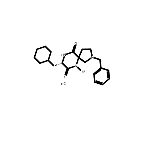 CCCCN1C(=O)[C@H](CC2CCCCC2)NC(=O)C12CCN(Cc1ccccc1)C2.Cl